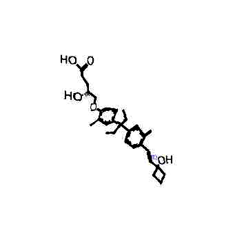 CCC(CC)(c1ccc(/C=C/C2(O)CCC2)c(C)c1)c1ccc(OC[C@H](O)CCC(=O)O)c(C)c1